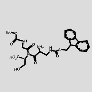 CC(C)(C)OC(=O)NCC(=O)N(C(=O)[C@@H](N)CNC(=O)OCC1c2ccccc2-c2ccccc21)[C@@H](CO)C(=O)O